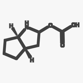 O=C(O)OC1C[C@@H]2CCC[C@H]2N1